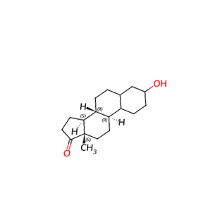 C[C@]12CC[C@@H]3C4CCC(O)CC4CC[C@H]3[C@@H]1CCC2=O